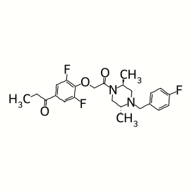 CCC(=O)c1cc(F)c(OCC(=O)N2C[C@@H](C)N(Cc3ccc(F)cc3)C[C@@H]2C)c(F)c1